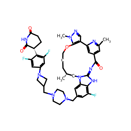 Cc1cc2cc(n1)-c1cnn(C)c1OCCC[C@@H](C)CN1/C(=N/C2=O)Nc2c(F)cc(CN3CCN(CC4CN(c5cc(F)c([C@H]6CCC(=O)NC6=O)c(F)c5)C4)CC3)cc21